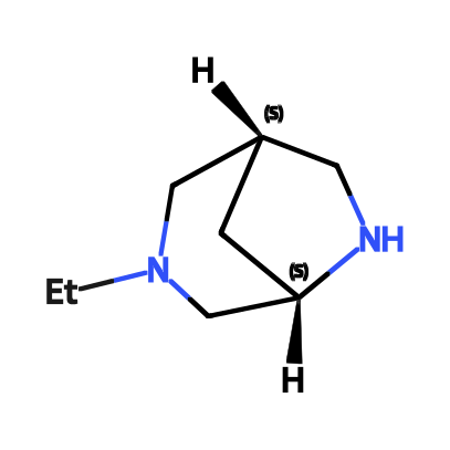 CCN1C[C@@H]2CN[C@@H](C2)C1